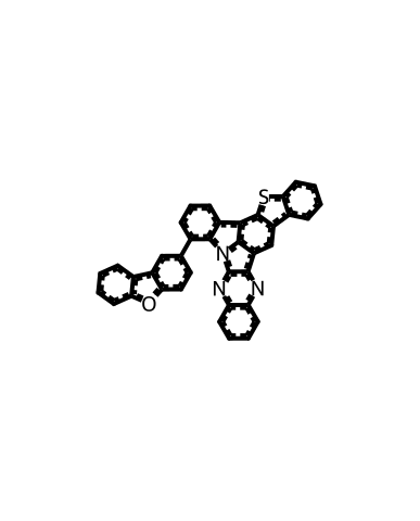 c1ccc2nc3c(nc2c1)c1cc2c4ccccc4sc2c2c4cccc(-c5ccc6oc7ccccc7c6c5)c4n3c12